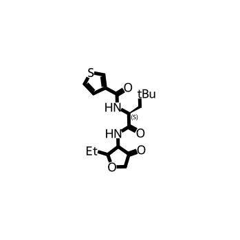 CCC1OCC(=O)C1NC(=O)[C@H](CC(C)(C)C)NC(=O)c1ccsc1